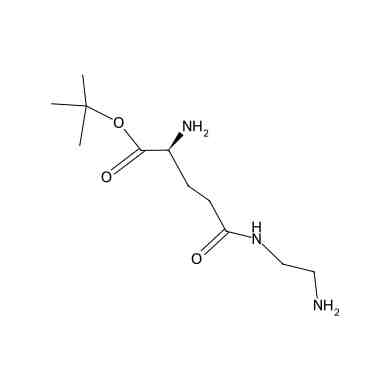 CC(C)(C)OC(=O)[C@@H](N)CCC(=O)NCCN